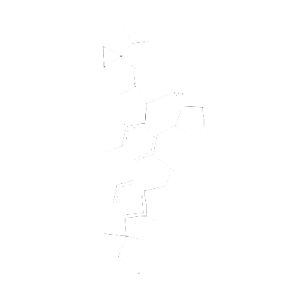 COC(C(=O)NC1(C(F)F)CC1)c1nc(C)nc(N[C@H](C)c2cccc(C(F)(F)CO)c2F)c1C1OCCO1